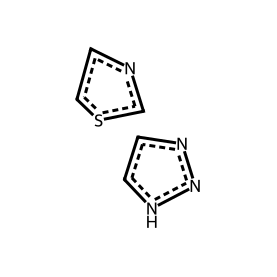 c1c[nH]nn1.c1cscn1